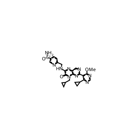 COc1ncnc(C2CC2)c1-c1ncc2nc(NCc3ccc([S+](N)[O-])cn3)c(=O)n(CC3CC3)c2n1